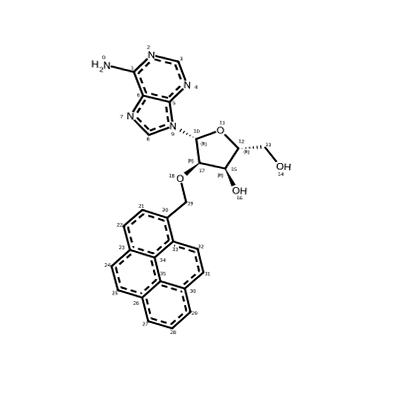 Nc1ncnc2c1ncn2[C@@H]1O[C@H](CO)[C@@H](O)[C@H]1OCc1ccc2ccc3cccc4ccc1c2c34